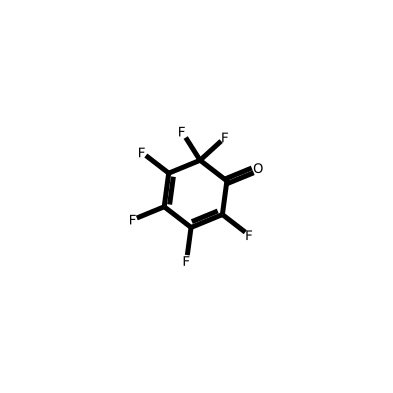 O=C1C(F)=C(F)C(F)=C(F)C1(F)F